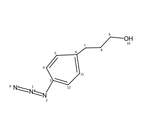 [N-]=[N+]=Nc1ccc(CCCO)cc1